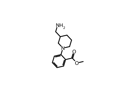 COC(=O)c1ccccc1N1CCCC(CN)C1